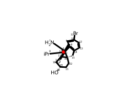 CC(C)N1C(=O)C2(N=C1N)c1cc(Br)ccc1C[C@]21CC[C@@H](O)CC1